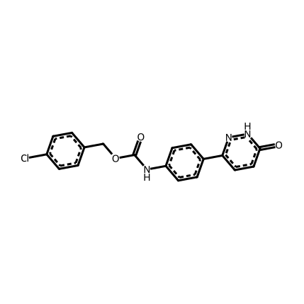 O=C(Nc1ccc(-c2ccc(=O)[nH]n2)cc1)OCc1ccc(Cl)cc1